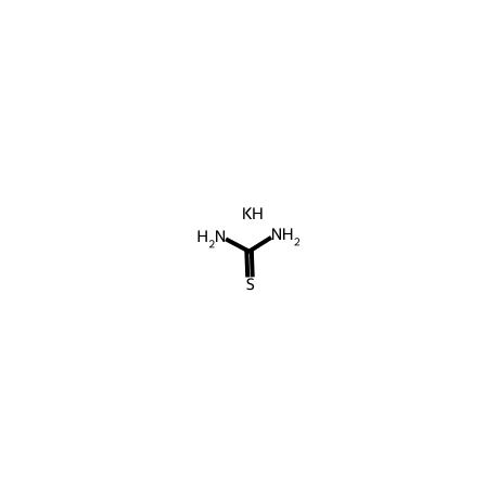 NC(N)=S.[KH]